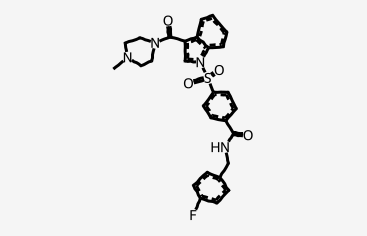 CN1CCN(C(=O)c2cn(S(=O)(=O)c3ccc(C(=O)NCc4ccc(F)cc4)cc3)c3ccccc23)CC1